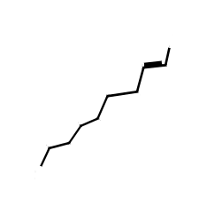 CC/C=C/CCCCCCC=O